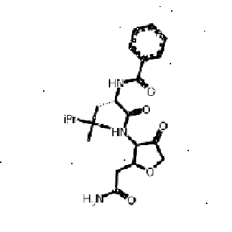 CC(C)C(C)(C)C[C@H](NC(=O)c1ccccc1)C(=O)NC1C(=O)COC1CC(N)=O